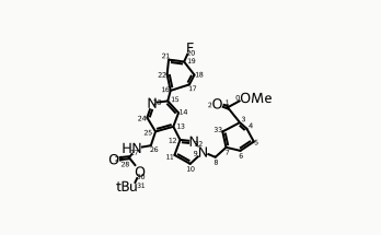 COC(=O)c1cccc(Cn2ccc(-c3cc(-c4ccc(F)cc4)ncc3CNC(=O)OC(C)(C)C)n2)c1